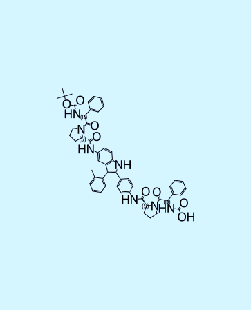 Cc1ccccc1-c1c(-c2ccc(NC(=O)[C@@H]3CCCN3C(=O)[C@H](NC(=O)O)c3ccccc3)cc2)[nH]c2ccc(NC(=O)[C@@H]3CCCN3C(=O)[C@H](NC(=O)OC(C)(C)C)c3ccccc3)cc12